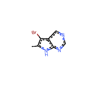 Cc1[nH]c2ncncc2c1Br